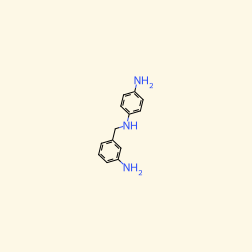 Nc1ccc(NCc2cccc(N)c2)cc1